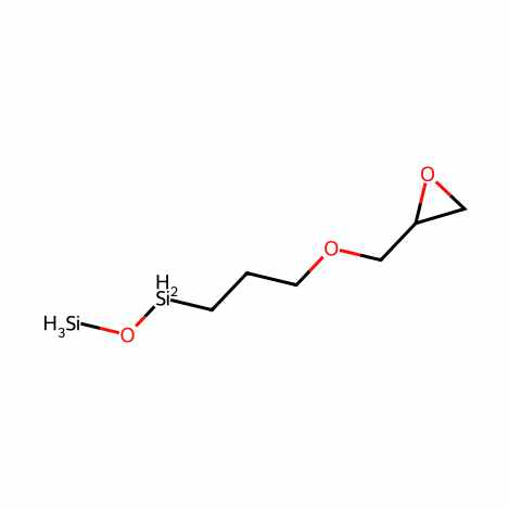 [SiH3]O[SiH2]CCCOCC1CO1